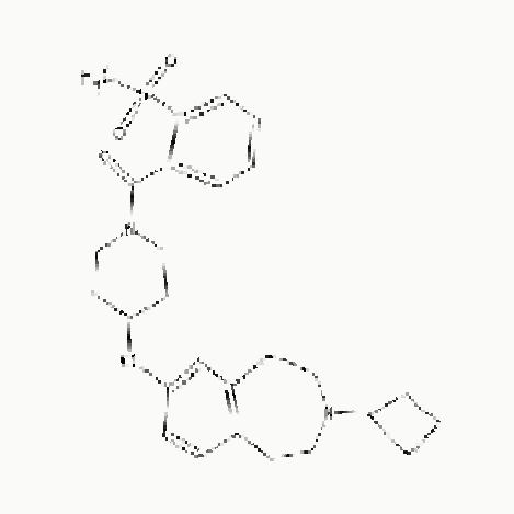 CS(=O)(=O)c1ccccc1C(=O)N1CCC(Oc2ccc3c(c2)CCN(C2CCC2)CC3)CC1